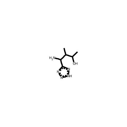 CC(O)C(C)C(N)c1nn[nH]n1